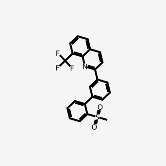 CS(=O)(=O)c1ccccc1-c1cccc(-c2ccc3cccc(C(F)(F)F)c3n2)c1